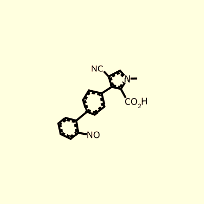 Cn1cc(C#N)c(-c2ccc(-c3ccccc3N=O)cc2)c1C(=O)O